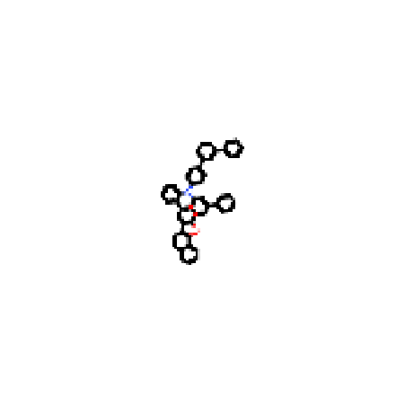 c1ccc(-c2cccc(-c3ccc(N(c4cccc(-c5ccccc5)c4)c4ccccc4-c4ccc5oc6c7ccccc7ccc6c5c4)cc3)c2)cc1